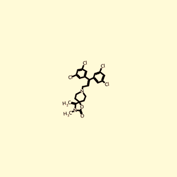 C=C1N(C)C(=O)OC12CCN(CC=C(c1cc(Cl)cc(Cl)c1)c1cc(Cl)cc(Cl)c1)CC2